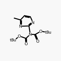 Cc1ccnc(N(C(=O)OC(C)(C)C)C(=O)OC(C)(C)C)n1